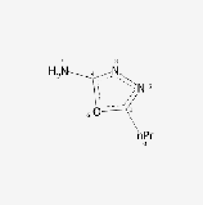 CCCc1nnc(N)o1